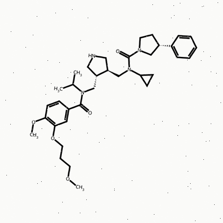 COCCCOc1cc(C(=O)N(C[C@@H]2CNC[C@H]2CN(C(=O)N2CC[C@H](c3ccccc3)C2)C2CC2)C(C)C)ccc1OC